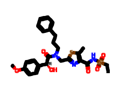 CCS(=O)(=O)NC(=O)c1nc(CN(CCCc2ccccc2)C(=O)[C@H](O)c2ccc(OC)cc2)sc1C